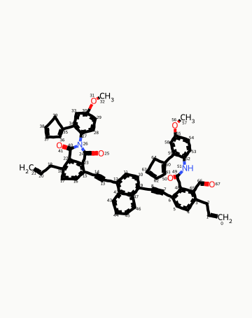 C=CCc1ccc(C#Cc2ccc(C#Cc3ccc(CC=C)c4c3C(=O)N(c3ccc(OC)cc3C3=CC=CC3)C4=O)c3ccccc23)c(C(=O)Nc2ccc(OC)cc2C2=CC=CC2)c1C=O